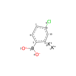 [K+].[K+].[O-]B([O-])c1ccc(Cl)cc1